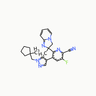 CC1(Cn2cc(-c3cc(F)c(C#N)nc3C3(C)CN4C=CC=CC4=N3)cn2)CCCC1